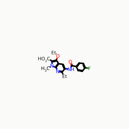 CCOc1c(C(=O)O)n(C)c2nc(CC)c(NC(=O)c3ccc(F)cc3)cc12